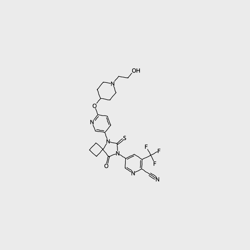 N#Cc1ncc(N2C(=O)C3(CCC3)N(c3ccc(OC4CCN(CCO)CC4)nc3)C2=S)cc1C(F)(F)F